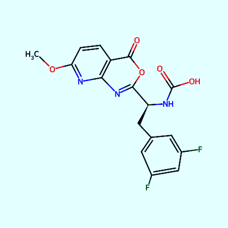 COc1ccc2c(=O)oc([C@H](Cc3cc(F)cc(F)c3)NC(=O)O)nc2n1